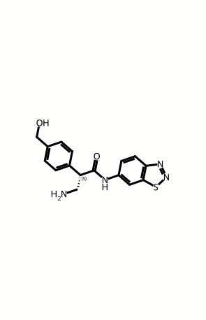 NC[C@@H](C(=O)Nc1ccc2nnsc2c1)c1ccc(CO)cc1